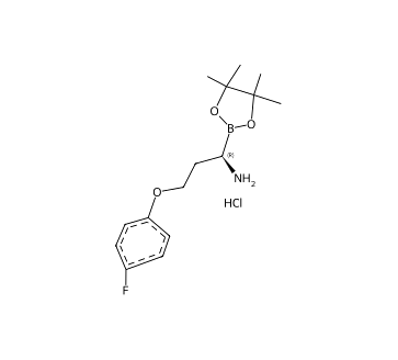 CC1(C)OB([C@@H](N)CCOc2ccc(F)cc2)OC1(C)C.Cl